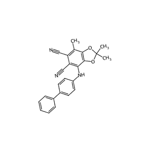 Cc1c(C#N)c(C#N)c(Nc2ccc(-c3ccccc3)cc2)c2c1OC(C)(C)O2